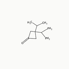 CC(C)C1(C(P)P)CC(=O)C1